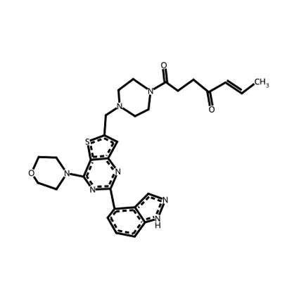 CC=CC(=O)CCC(=O)N1CCN(Cc2cc3nc(-c4cccc5[nH]ncc45)nc(N4CCOCC4)c3s2)CC1